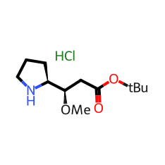 CO[C@H](CC(=O)OC(C)(C)C)[C@@H]1CCCN1.Cl